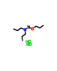 CCC[O][Ti][N](CCC)CCC.Cl.Cl